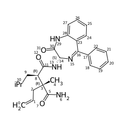 C=CC[C@@](C)(C(N)=O)[C@@H](CC(C)C)C(=O)N[C@H]1N=C(c2ccccc2)c2ccccc2NC1=O